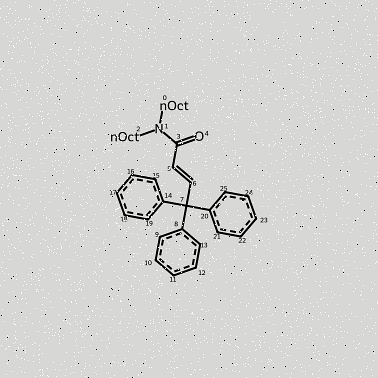 CCCCCCCCN(CCCCCCCC)C(=O)C=CC(c1ccccc1)(c1ccccc1)c1ccccc1